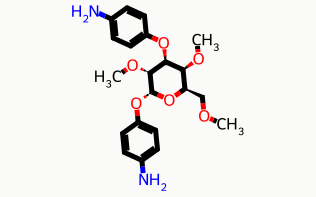 COC[C@H]1O[C@H](Oc2ccc(N)cc2)[C@H](OC)[C@@H](Oc2ccc(N)cc2)[C@H]1OC